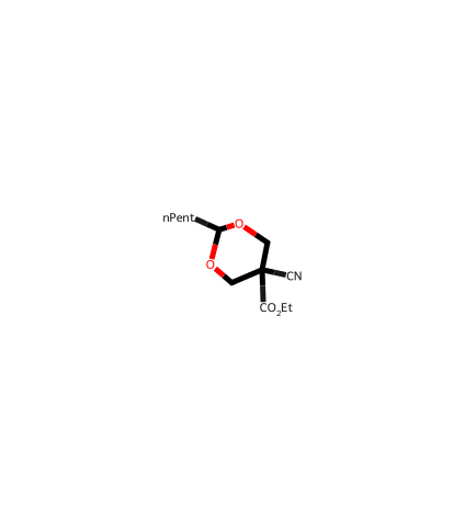 CCCCCC1OCC(C#N)(C(=O)OCC)CO1